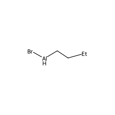 CCC[CH2][AlH][Br]